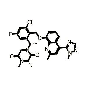 Cc1cc(-c2ncnn2C)c2cccc(OCc3c(Cl)cc(F)cc3[C@H](C)N3CC(=O)N(C)[C@@H](C)C3=O)c2n1